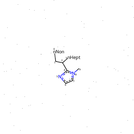 CCCCCCCCCCC(CCCCCCC)c1nccn1C